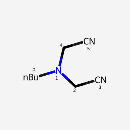 CCCCN(CC#N)CC#N